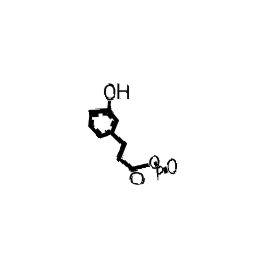 O=POC(=O)CCc1cccc(O)c1